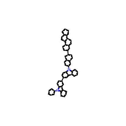 c1ccc(-n2c3ccccc3c3cc(-c4ccc5c(c4)c4ccccc4n5-c4ccc5cc(-c6ccc7c(ccc8c9ccccc9ccc78)c6)ccc5c4)ccc32)cc1